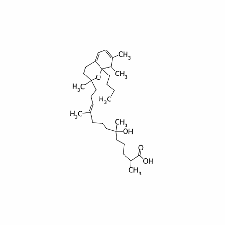 CCCCC12OC(C)(CC/C=C(\C)CCCC(C)(O)CCCC(C)C(=O)O)CCC1=CC=C(C)C2C